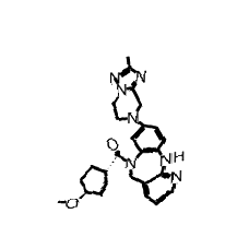 CO[C@H]1CC[C@H](C(=O)N2Cc3cccnc3Nc3ccc(N4CCn5nc(C)nc5C4)cc32)CC1